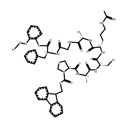 CCSSc1ccccc1OC(=O)[C@H](Cc1ccccc1)NC(=O)CNC(=O)[C@H](CC)NC(=O)[C@H](CCCNC(C)=N)NC(=O)[C@H](CC(C)=O)NC(=O)[C@H](C)NC(=O)[C@@H]1CSCN1C(=O)OCC1c2ccccc2-c2ccccc21